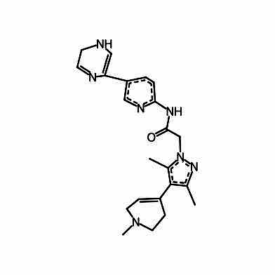 Cc1nn(CC(=O)Nc2ccc(C3=CNCC=N3)cn2)c(C)c1C1=CCN(C)CC1